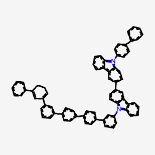 C1=C(c2cccc(-c3ccc(-c4ccc(-c5cccc(-n6c7ccccc7c7cc(-c8ccc9c(c8)c8ccccc8n9-c8ccc(-c9ccccc9)cc8)ccc76)c5)cc4)cc3)c2)C=C(c2ccccc2)CC1